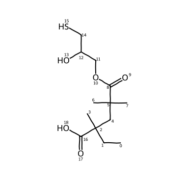 CCC(C)(CC(C)(C)C(=O)OCC(O)CS)C(=O)O